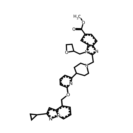 COC(=O)c1ccc2nc(CN3CCC(c4cccc(OCc5cccn6nc(C7CC7)cc56)n4)CC3)n(CC3CCO3)c2c1